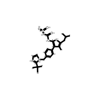 Cc1c(CC(C)C)sc(OC(=O)N=S(=O)=O)c1-c1ccc(Cn2ccnc2C(C)(C)C)cc1